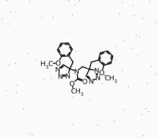 COC(=O)N(CC1(Cc2ccccc2OC)C=NN=N1)C1(Cc2ccccc2OC)C=NN=N1